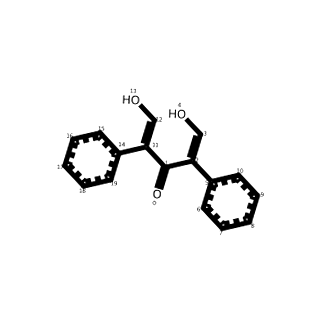 O=C(C(=CO)c1ccccc1)C(=CO)c1ccccc1